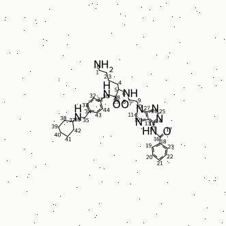 NCCCCC(NC(=O)Cn1cnc2c(NC(=O)c3ccccc3)ncnc21)C(=O)Nc1ccc(CNC2CCCCC2)cc1